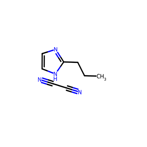 CCCc1ncc[nH]1.N#CC#N